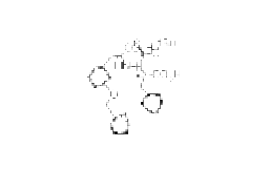 CC(C)(C)OC(=O)N(N[C@@H](Cc1cccc(OCc2ccccc2)c1)C(=O)O)[C@@H](Cc1ccccc1)C(=O)O